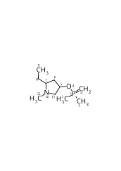 C=P(C)(C)OC1CC(CC)N(C)C1